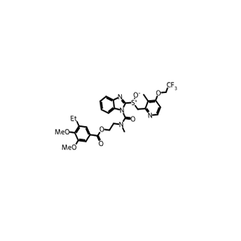 CCc1cc(C(=O)OCCN(C)C(=O)n2c([S@+]([O-])Cc3nccc(OCC(F)(F)F)c3C)nc3ccccc32)cc(OC)c1OC